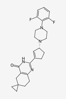 O=c1[nH]c(C2=C[C@H](N3CCN(c4c(F)cccc4F)CC3)CC2)nc2c1CC1(CC2)CC1